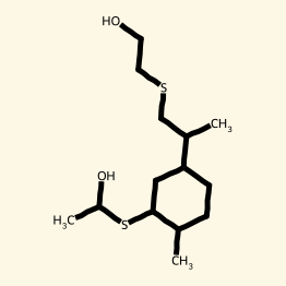 CC(O)SC1CC(C(C)CSCCO)CCC1C